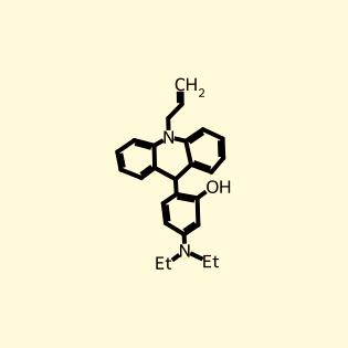 C=CCN1c2ccccc2C(c2ccc(N(CC)CC)cc2O)c2ccccc21